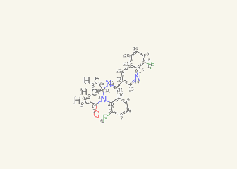 CC(=O)N1c2c(F)cccc2C(c2cnc3c(F)cccc3c2)=NC1(C)C